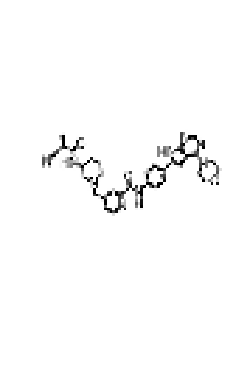 C=C(C#N)C(=O)NC1CCCN(Cc2ccnc(C(=O)Nc3ccc(-c4cc5c(N6CCOCC6)ncnc5[nH]4)cc3)c2)C1